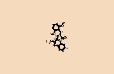 COc1cccc(OC)c1Cn1nc2c(N)nc3ccccc3n2c1=O